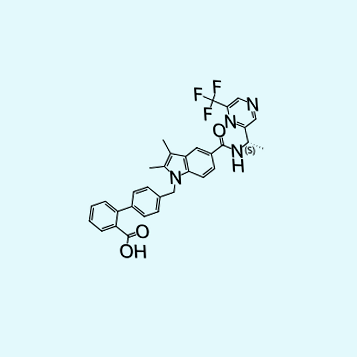 Cc1c(C)n(Cc2ccc(-c3ccccc3C(=O)O)cc2)c2ccc(C(=O)N[C@@H](C)c3cncc(C(F)(F)F)n3)cc12